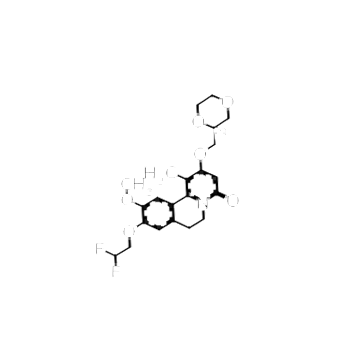 COc1cc2c(cc1OCC(F)F)CCn1c-2c(C)c(OC[C@@H]2COCCO2)cc1=O